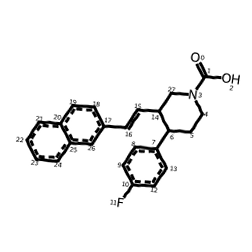 O=C(O)N1CCC(c2ccc(F)cc2)C(/C=C/c2ccc3ccccc3c2)C1